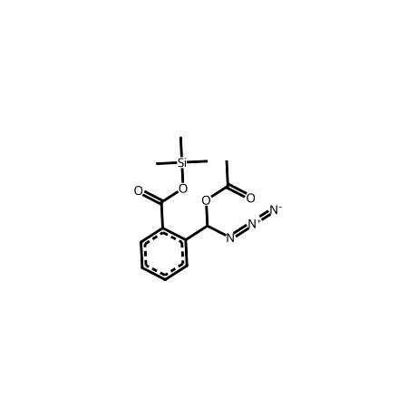 CC(=O)OC(N=[N+]=[N-])c1ccccc1C(=O)O[Si](C)(C)C